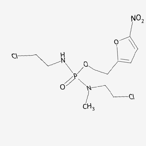 CN(CCCl)P(=O)(NCCCl)OCc1ccc([N+](=O)[O-])o1